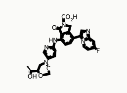 C[C@H](O)C1CN(c2ccc(Nc3ccc(-c4cnc5cc(F)ccn45)c4c3C(=O)N(C(=O)O)C4)nc2)CCO1